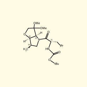 COC1(OC)CO[C@@H]2[C@H](C)CN(C(=O)[C@H](CC(C)C)NC(=O)OC(C)(C)C)[C@@H]21